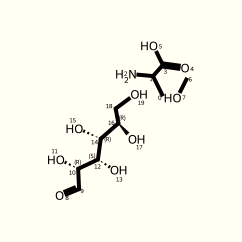 CC(N)C(=O)O.CO.O=C[C@H](O)[C@@H](O)[C@H](O)[C@H](O)CO